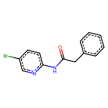 O=C(Cc1ccccc1)Nc1ccc(Br)cn1